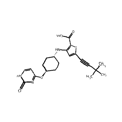 CC(C)(C)C#Cc1cc(N[C@H]2CC[C@H](Oc3cc[nH]c(=O)n3)CC2)c(C(=O)O)s1